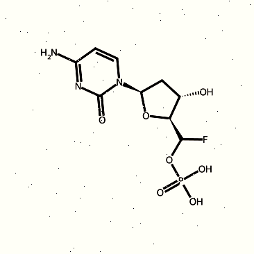 Nc1ccn([C@H]2C[C@H](O)[C@@H](C(F)OP(=O)(O)O)O2)c(=O)n1